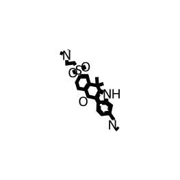 C=NCc1ccc2c3c([nH]c2c1)C(C)(C)C1=C(CCC(S(=O)(=O)CCN(C)C)=C1)C3=O